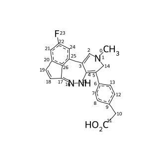 CN1C=C2C(=C(c3ccc(CC(=O)O)cc3)C1)NN=C1C=Cc3cc(F)cc2c31